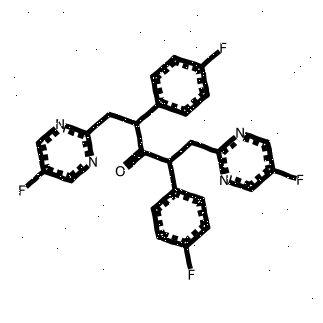 O=C(C(Cc1ncc(F)cn1)c1ccc(F)cc1)C(Cc1ncc(F)cn1)c1ccc(F)cc1